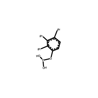 CC(C)c1ccc(OP(O)O)c(C(C)C)c1C(C)C